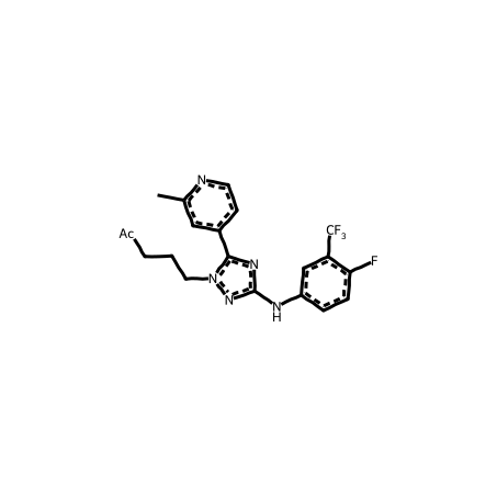 CC(=O)CCCn1nc(Nc2ccc(F)c(C(F)(F)F)c2)nc1-c1ccnc(C)c1